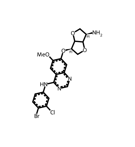 COc1cc2c(Nc3ccc(Br)c(Cl)c3)ncnc2cc1O[C@@H]1COC2C1OC[C@H]2N